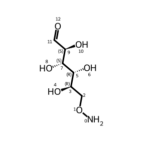 NOC[C@@H](O)[C@@H](O)[C@H](O)[C@H](O)C=O